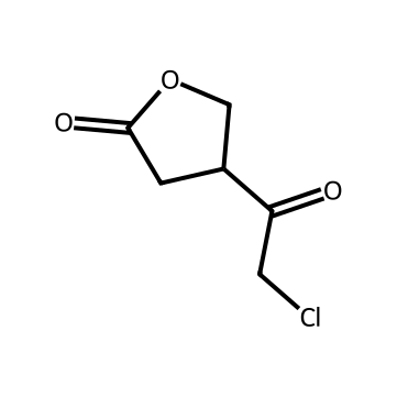 O=C1CC(C(=O)CCl)CO1